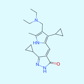 CCN(CC)Cc1c(C)[nH]c(C=C2C(=O)NN=C2C2CC2)c1C1CC1